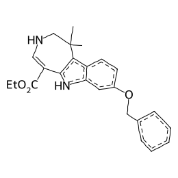 CCOC(=O)C1=CNCC(C)(C)c2c1[nH]c1cc(OCc3ccccc3)ccc21